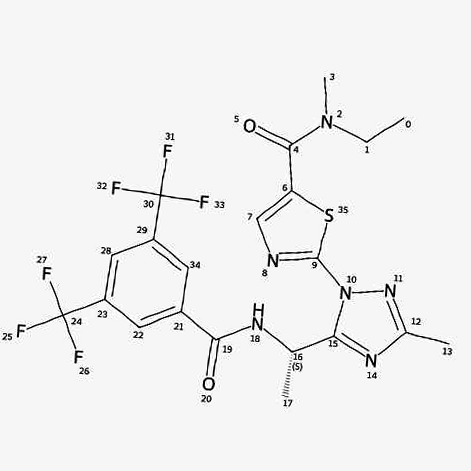 CCN(C)C(=O)c1cnc(-n2nc(C)nc2[C@H](C)NC(=O)c2cc(C(F)(F)F)cc(C(F)(F)F)c2)s1